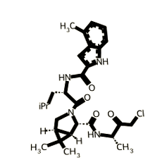 Cc1cccc2[nH]c(C(=O)N[C@@H](CC(C)C)C(=O)N3C[C@H]4[C@@H]([C@H]3C(=O)N[C@@H](C)C(=O)CCl)C4(C)C)cc12